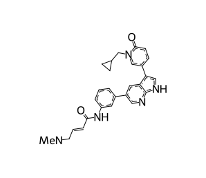 CNCC=CC(=O)Nc1cccc(-c2cnc3[nH]cc(-c4ccc(=O)n(CC5CC5)c4)c3c2)c1